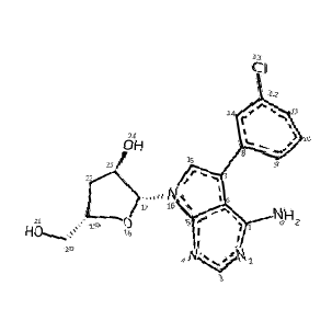 Nc1ncnc2c1c(-c1cccc(Cl)c1)cn2[C@@H]1O[C@H](CO)C[C@H]1O